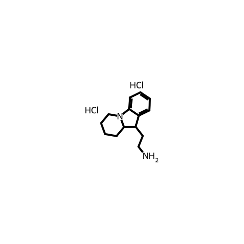 Cl.Cl.NCCC1c2ccccc2N2CCCCC12